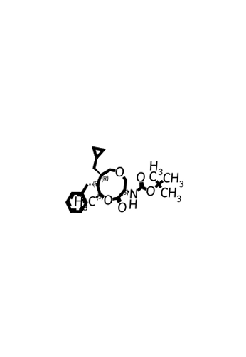 C[C@@H]1OC(=O)[C@@H](NC(=O)OC(C)(C)C)COC[C@H](CC2CC2)[C@H]1Cc1ccccc1